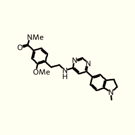 CNC(=O)c1ccc(CCNc2cc(-c3ccc4c(c3)CCN4C)ncn2)c(OC)c1